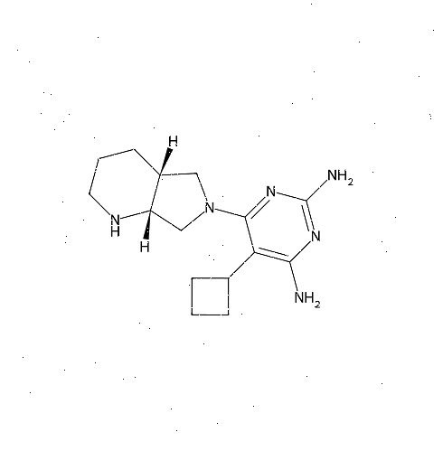 Nc1nc(N)c(C2CCC2)c(N2C[C@H]3CCCN[C@H]3C2)n1